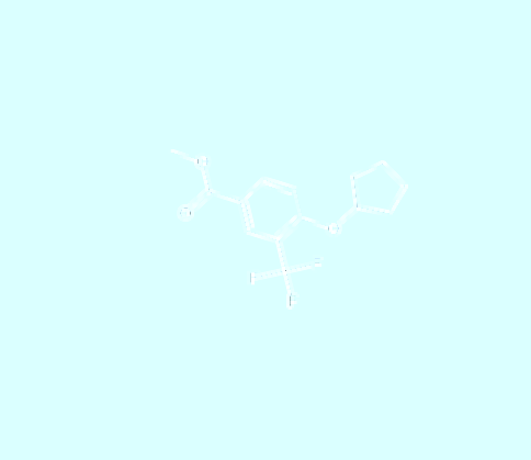 COC(=O)c1ccc(OC2CCCC2)c(C(F)(F)F)c1